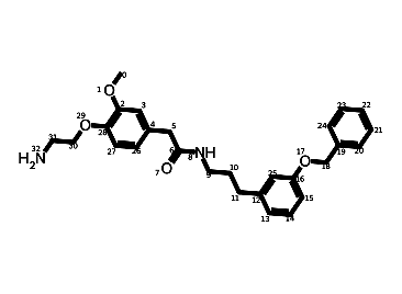 COc1cc(CC(=O)NCCCc2cccc(OCc3ccccc3)c2)ccc1OCCN